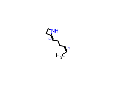 C/C=C\CC/C=C1/CCN1